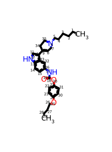 CCCCCCN1CC=C(c2c[nH]c3ccc(NC(=O)Oc4ccc(OCCCC)cc4)cc23)CC1